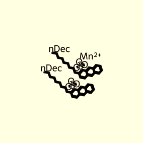 CCCCCCCCCCCCCCCCCCCc1ccc2cc3ccccc3cc2c1S(=O)(=O)[O-].CCCCCCCCCCCCCCCCCCCc1ccc2cc3ccccc3cc2c1S(=O)(=O)[O-].[Mn+2]